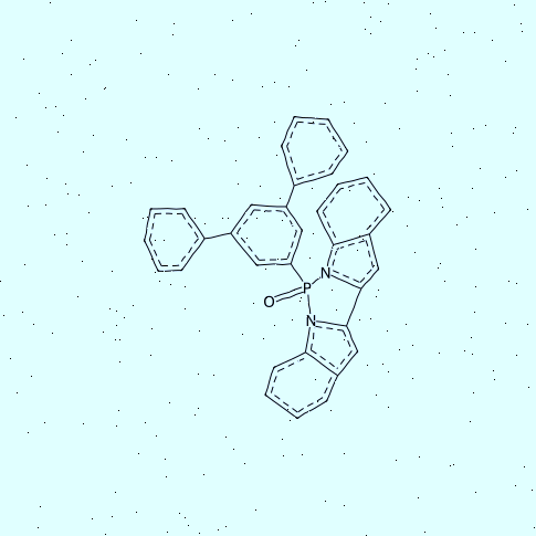 O=P1(c2cc(-c3ccccc3)cc(-c3ccccc3)c2)n2c(cc3ccccc32)-c2cc3ccccc3n21